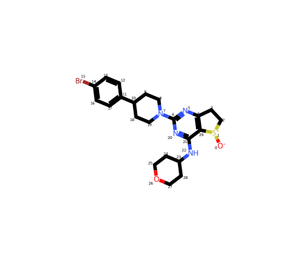 [O-][S+]1CCc2nc(N3CCC(c4ccc(Br)cc4)CC3)nc(NC3CCOCC3)c21